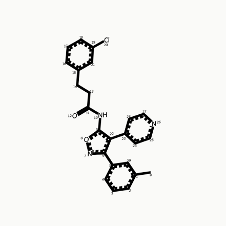 Cc1cccc(-c2noc(NC(=O)CCc3cccc(Cl)c3)c2-c2ccncc2)c1